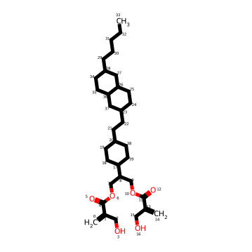 C=C(CO)C(=O)OCC(COC(=O)C(=C)CO)C1CCC(CCC2CCC3CC(CCCCC)CCC3C2)CC1